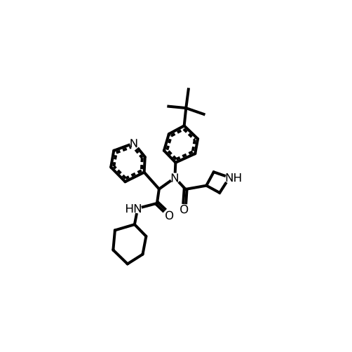 CC(C)(C)c1ccc(N(C(=O)C2CNC2)C(C(=O)NC2CCCCC2)c2cccnc2)cc1